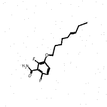 CCC=CCCCCCOc1ccc(F)c(C(N)=O)c1F